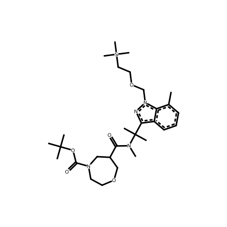 Cc1cccc2c(C(C)(C)N(C)C(=O)C3COCCN(C(=O)OC(C)(C)C)C3)nn(COCC[Si](C)(C)C)c12